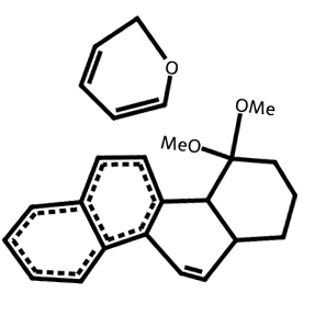 C1=CCOC=C1.COC1(OC)CCCC2C=Cc3c(ccc4ccccc34)C21